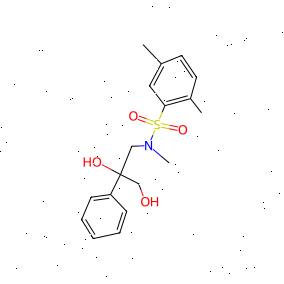 Cc1ccc(C)c(S(=O)(=O)N(C)CC(O)(CO)c2ccccc2)c1